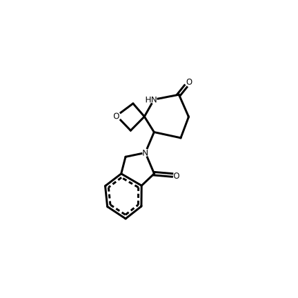 O=C1CCC(N2Cc3ccccc3C2=O)C2(COC2)N1